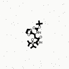 CC(C)[Si](O[C@@H](C(=O)O)[C@@H](NC(=O)OC(C)(C)C)c1ncco1)(C(C)C)C(C)C